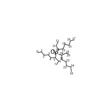 CCCCCC(CC)P(=O)(C(CC)CCCCC)C(CC)CCCCC